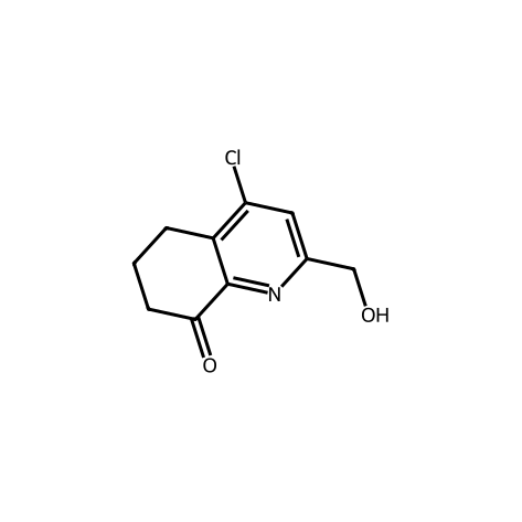 O=C1CCCc2c(Cl)cc(CO)nc21